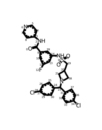 O=C(Nc1ccncc1)c1cc(F)cc(NS(=O)(=O)CC2CN(C(c3ccc(Cl)cc3)c3ccc(Cl)cc3)C2)c1